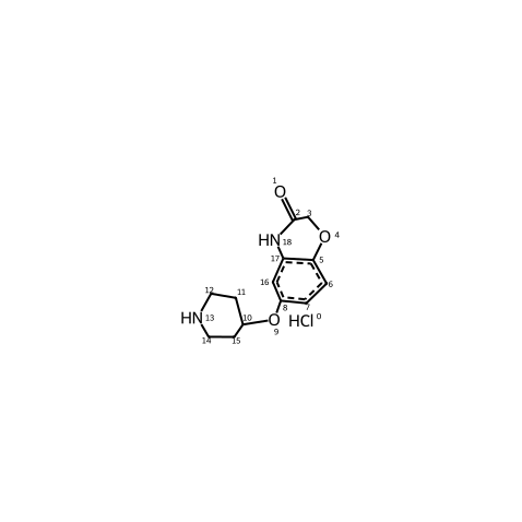 Cl.O=C1COc2ccc(OC3CCNCC3)cc2N1